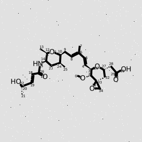 CO[C@@H]1[C@@H](C=CC(C)=CC[C@@H]2O[C@H](C)[C@H](NC(=O)C=C[C@H](C)O)C[C@@H]2C)O[C@H](CC(=O)O)C[C@@]12CO2